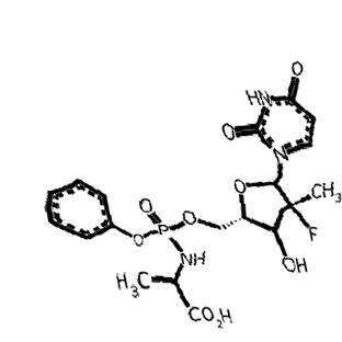 CC(NP(=O)(OC[C@@H]1OC(n2ccc(=O)[nH]c2=O)[C@](C)(F)C1O)Oc1ccccc1)C(=O)O